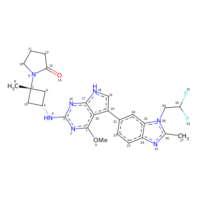 COc1nc(N[C@H]2C[C@@](C)(N3CCCC3=O)C2)nc2[nH]cc(-c3ccc4nc(C)n(CC(F)F)c4c3)c12